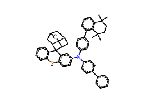 CC1(C)CCC(C)(C)c2c(-c3ccc(N(c4ccc(-c5ccccc5)cc4)c4ccc5c(c4)C4(c6ccccc6S5)C5CC6CC7CC4C75C6)cc3)cccc21